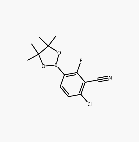 CC1(C)OB(c2ccc(Cl)c(C#N)c2F)OC1(C)C